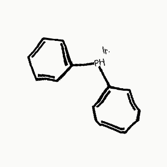 [Ir].c1ccc(Pc2ccccc2)cc1